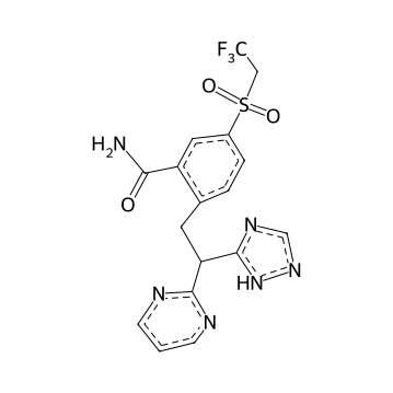 NC(=O)c1cc(S(=O)(=O)CC(F)(F)F)ccc1CC(c1ncccn1)c1ncn[nH]1